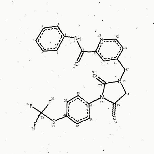 O=C(Nc1ccccc1)c1cc(CN2CC(=O)N(c3ccc(SC(F)(F)F)cc3)C2=O)ccn1